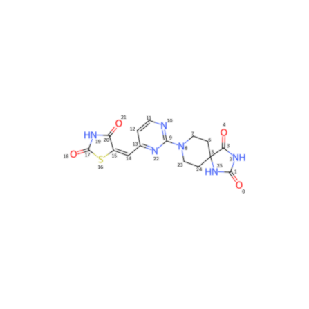 O=C1NC(=O)C2(CCN(c3nccc(C=C4SC(=O)NC4=O)n3)CC2)N1